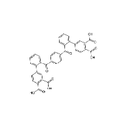 O=C(O)c1ccc(-c2ccccc2C(=O)c2ccc(C(=O)c3ccccc3-c3ccc(C(=O)O)c(C(=O)O)c3)cc2)cc1C(=O)O